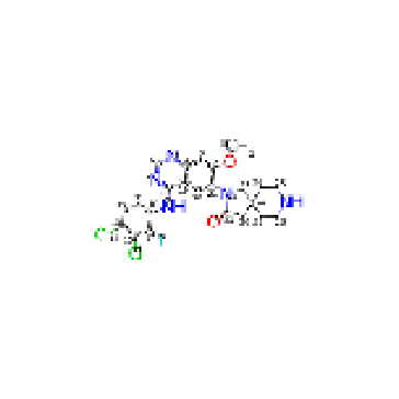 COc1cc2ncnc(Nc3ccc(Cl)c(Cl)c3F)c2cc1N1CC2(CCNCC2)CC1=O